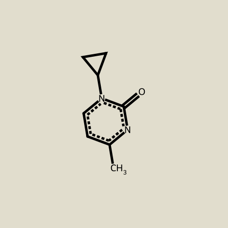 Cc1ccn(C2CC2)c(=O)n1